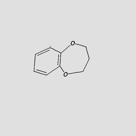 [c]1cccc2c1OCCCO2